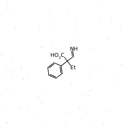 CCC(C=N)(C(=O)O)c1ccccc1